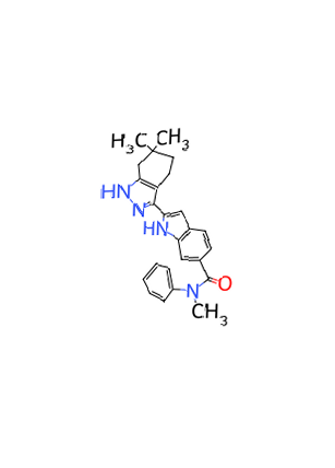 CN(C(=O)c1ccc2cc(-c3n[nH]c4c3CCC(C)(C)C4)[nH]c2c1)c1ccccc1